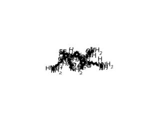 N=C(N)NCCCCC(=O)Nc1cc(C(F)(F)F)cc(NC(=O)c2cccc(C(=O)Nc3cc(C(F)(F)F)cc(NC(=O)CCCCNC(=N)N)c3SCCNC(=O)CN)c2)c1SCCNC(=O)CN